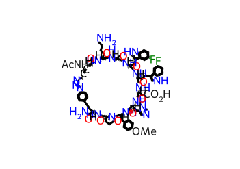 COc1ccc(C[C@@H]2NC(=O)[C@H](Cc3cnc[nH]3)NC(=O)[C@H](CC(=O)O)NC(=O)[C@H](CCc3c[nH]c4ccc(F)cc34)NC(=O)[C@H](Cc3c[nH]c4ccc(F)cc34)NC(=O)[C@@H](C)NC(=O)[C@H](CCCCN)NC(=O)[C@@H](NC(C)=O)CCc3cn(nn3)-c3ccc(cc3)C[C@@H](C(N)=O)NC(=O)[C@]3(C)CCCN3C2=O)cc1